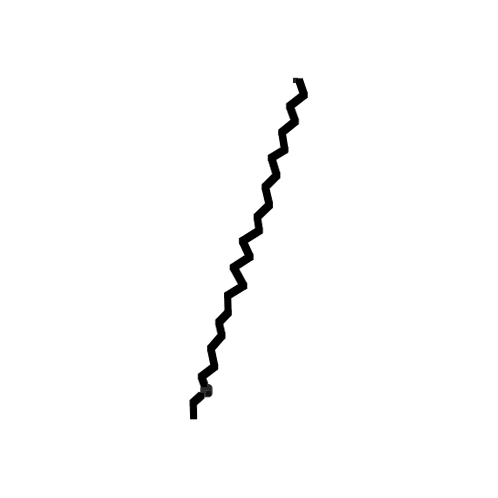 [CH2]CCCCCCCCCCCCCCCCCCCCCCOCC